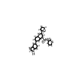 O=C(Nc1cccnc1)c1cc(-c2ccco2)nc2ccc(-c3ccc4[nH]cnc4c3)cc12